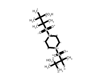 CC(C)(C(C)(C)S(=O)(=O)N1CCN(S(=O)(=O)C(C)(F)C(C)(C)S(=O)(=O)O)CC1)S(=O)(=O)O